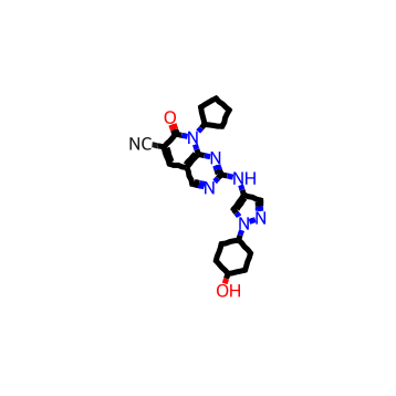 N#Cc1cc2cnc(Nc3cnn(C4CCC(O)CC4)c3)nc2n(C2CCCC2)c1=O